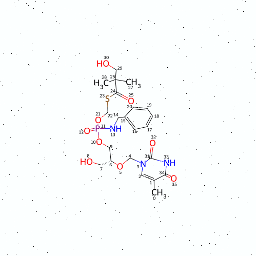 Cc1cn(CO[C@H](CO)COP(=O)(NCc2ccccc2)OCSC(=O)C(C)(C)CO)c(=O)[nH]c1=O